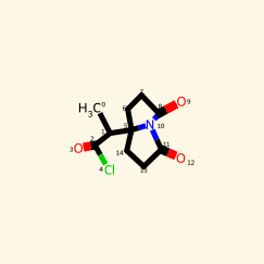 CC(C(=O)Cl)C12CCC(=O)N1C(=O)CC2